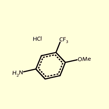 COc1ccc(N)cc1C(F)(F)F.Cl